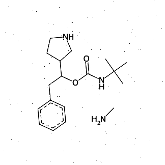 CC(C)(C)NC(=O)OC(Cc1ccccc1)C1CCNC1.CN